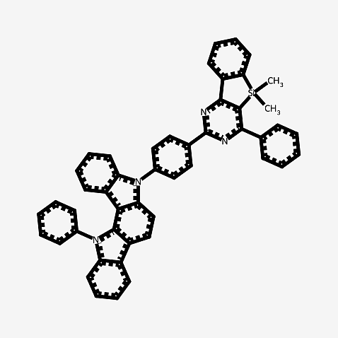 C[Si]1(C)c2ccccc2-c2nc(-c3ccc(-n4c5ccccc5c5c4ccc4c6ccccc6n(-c6ccccc6)c45)cc3)nc(-c3ccccc3)c21